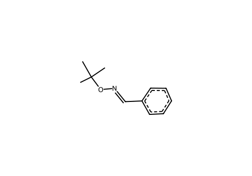 CC(C)(C)ON=Cc1ccccc1